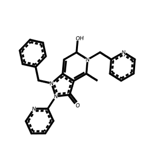 CC1=c2c(n(Cc3ccccc3)n(-c3ccccn3)c2=O)=CC(O)N1Cc1ccccn1